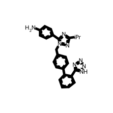 CC(C)c1nc(-c2ccc(N)cc2)n(Cc2ccc(-c3ccccc3-c3nnn[nH]3)cc2)n1